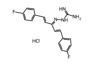 Cl.N=C(N)NN=C(C=Cc1ccc(F)cc1)C=Cc1ccc(F)cc1